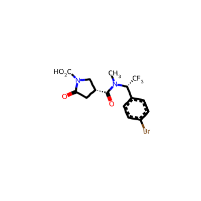 CN(C(=O)[C@@H]1CC(=O)N(C(=O)O)C1)[C@@H](c1ccc(Br)cc1)C(F)(F)F